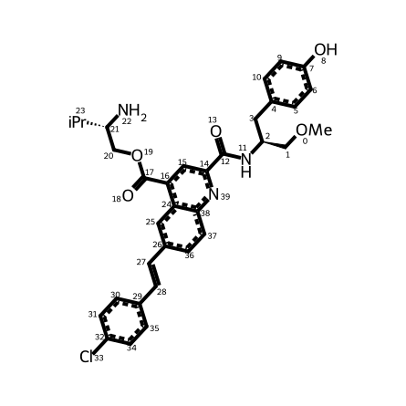 COC[C@H](Cc1ccc(O)cc1)NC(=O)c1cc(C(=O)OC[C@@H](N)C(C)C)c2cc(/C=C/c3ccc(Cl)cc3)ccc2n1